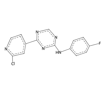 Fc1ccc(Nc2ncnc(-c3ccnc(Cl)c3)n2)cc1